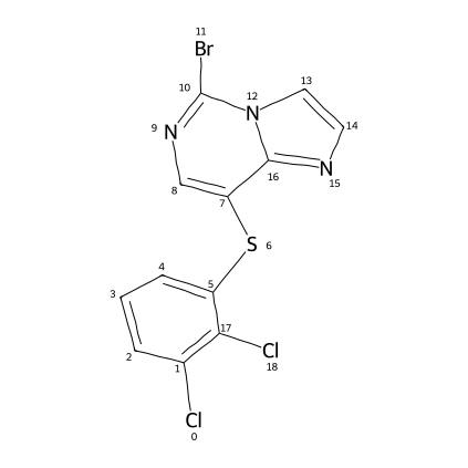 Clc1cccc(Sc2cnc(Br)n3ccnc23)c1Cl